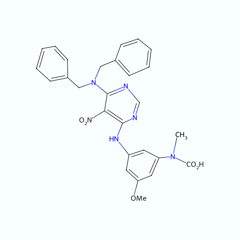 COc1cc(Nc2ncnc(N(Cc3ccccc3)Cc3ccccc3)c2[N+](=O)[O-])cc(N(C)C(=O)O)c1